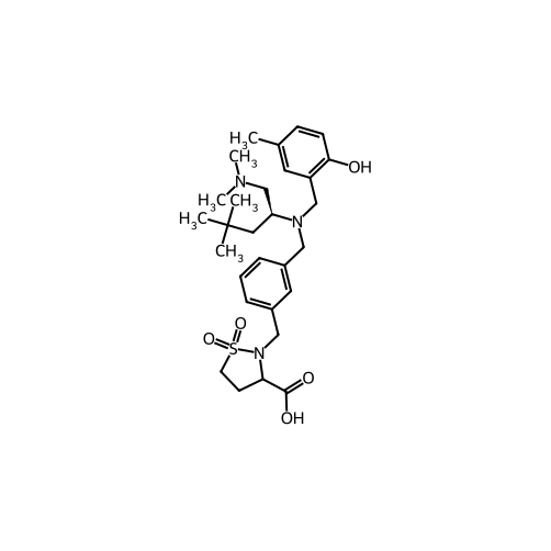 Cc1ccc(O)c(CN(Cc2cccc(CN3C(C(=O)O)CCS3(=O)=O)c2)[C@H](CN(C)C)CC(C)(C)C)c1